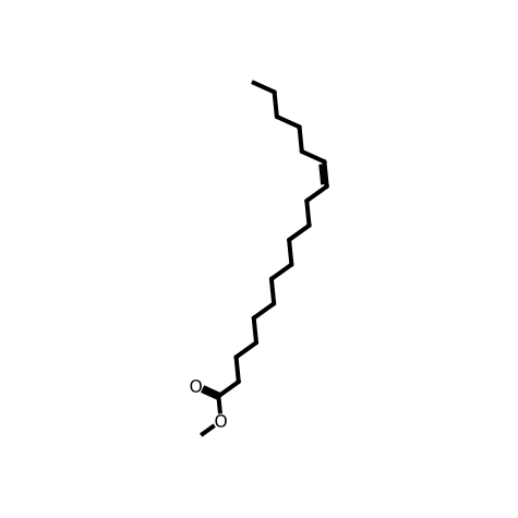 CCCCC/C=C\CCCCCCCCCCC(=O)OC